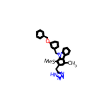 CSc1c(Cc2nnn[nH]2)cc(C)c2c3ccccc3n(Cc3cccc(OCc4ccccc4)c3)c12